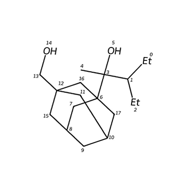 CCC(CC)C(C)(O)C12CC3CC(CC(CO)(C3)C1)C2